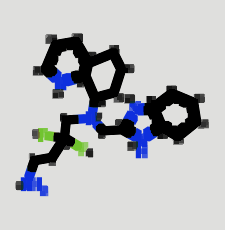 NCCC(F)(F)CN(Cc1nc2ccccc2[nH]1)C1CCCc2cccnc21